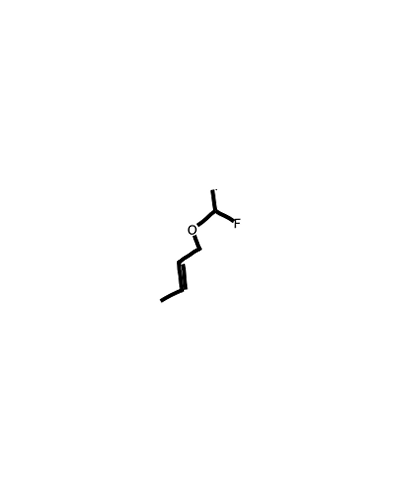 [CH2]C(F)OCC=CC